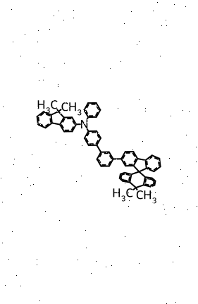 CC1(C)c2ccccc2-c2ccc(N(c3ccccc3)c3ccc(-c4cccc(-c5ccc6c(c5)C5(c7ccccc7-6)c6ccccc6C(C)(C)c6ccccc65)c4)cc3)cc21